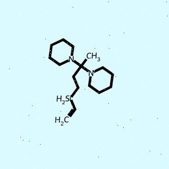 C=C[SiH2]CCC(C)(N1CCCCC1)N1CCCCC1